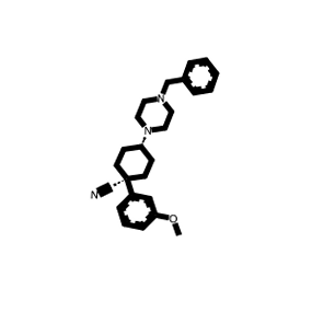 COc1cccc([C@]2(C#N)CC[C@@H](N3CCN(Cc4ccccc4)CC3)CC2)c1